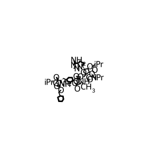 COC(=O)[C@H](C)NP(=O)(OC[C@@]1(C#N)O[C@@H](c2ccc3c(N)ncnn23)[C@H](OC(=O)C(C)C)[C@@H]1OC(=O)C(C)C)Oc1ccc(C[C@H](NC(=O)OCc2ccccc2)C(=O)OC(C)C)cc1